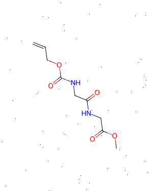 C=CCOC(=O)NCC(=O)NCC(=O)OC